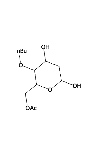 CCCCOC1C(O)CC(O)OC1COC(C)=O